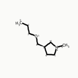 CCCOC[C@@H]1CCN(C)C1